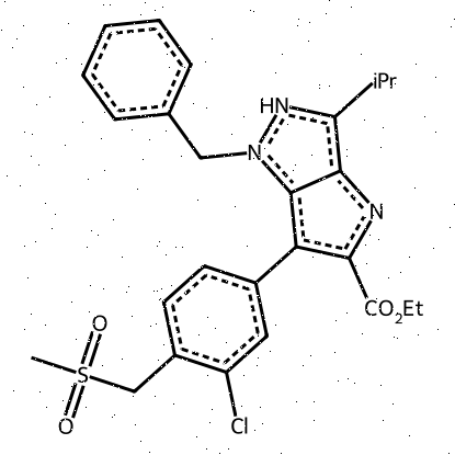 CCOC(=O)c1nc2c(C(C)C)[nH]n(Cc3ccccc3)c-2c1-c1ccc(CS(C)(=O)=O)c(Cl)c1